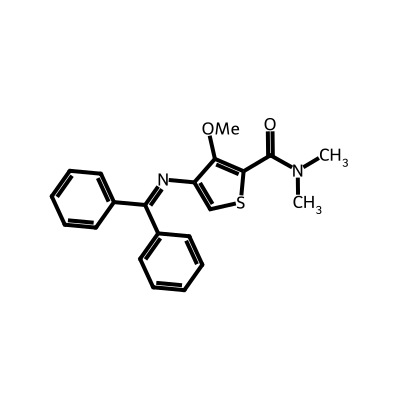 COc1c(N=C(c2ccccc2)c2ccccc2)csc1C(=O)N(C)C